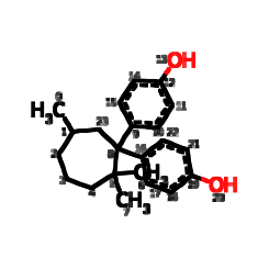 CC1CCCC(C)(C)C(c2ccc(O)cc2)(c2ccc(O)cc2)C1